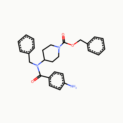 Nc1ccc(C(=O)N(Cc2ccccc2)C2CCN(C(=O)OCc3ccccc3)CC2)cc1